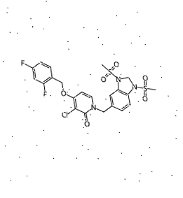 CS(=O)(=O)N1CN(S(C)(=O)=O)c2cc(Cn3ccc(OCc4ccc(F)cc4F)c(Cl)c3=O)ccc21